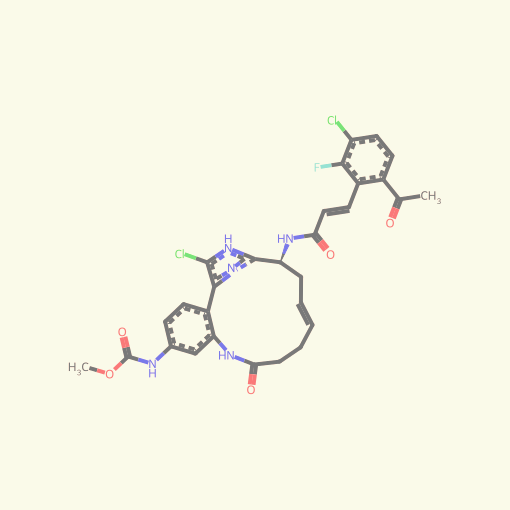 COC(=O)Nc1ccc2c(c1)NC(=O)CC/C=C/C[C@H](NC(=O)/C=C/c1c(C(C)=O)ccc(Cl)c1F)c1nc-2c(Cl)[nH]1